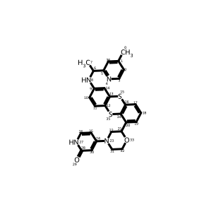 Cc1ccnc(C(C)Nc2ccc3c(c2)Sc2cccc(C4CN(c5cc[nH]c(=O)c5)CCO4)c2S3)c1